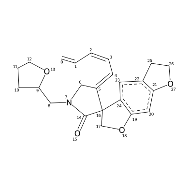 C=C/C=C\C=C1/CN(CC2CCCO2)C(=O)C12COc1cc3c(cc12)CCO3